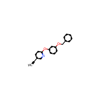 C#Cc1ccc(Oc2cccc(OCc3ccccc3)c2)nc1